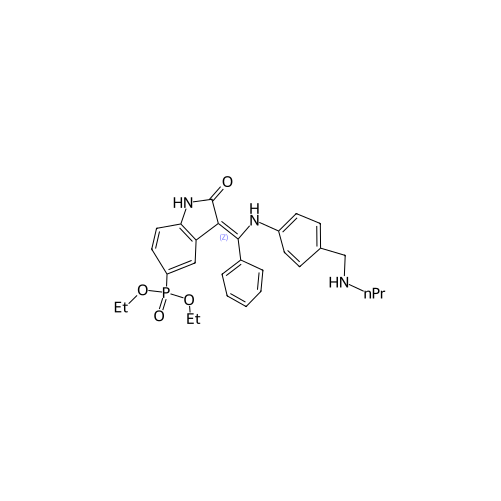 CCCNCc1ccc(N/C(=C2\C(=O)Nc3ccc(P(=O)(OCC)OCC)cc32)c2ccccc2)cc1